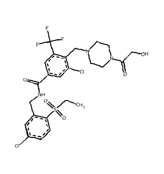 CCS(=O)(=O)c1ccc(Cl)cc1CNC(=O)c1cc(Cl)c(CN2CCN(C(=O)CO)CC2)c(C(F)(F)F)c1